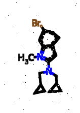 Cn1c(N(CC2CC2)CC2CC2)cc2ccc(Br)cc21